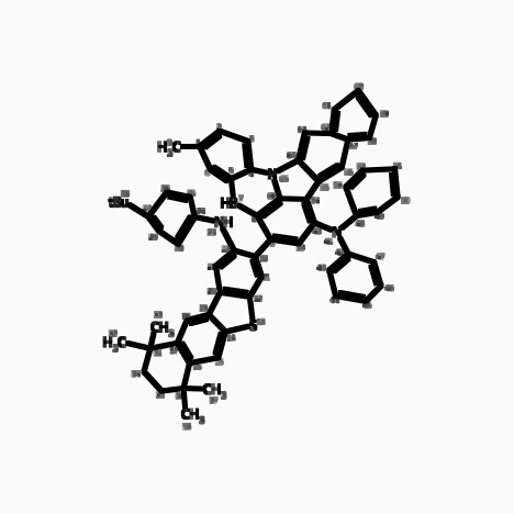 Cc1ccc2c(c1)Bc1c(-c3cc4sc5cc6c(cc5c4cc3Nc3ccc(C(C)(C)C)cc3)C(C)(C)CCC6(C)C)cc(N(c3ccccc3)c3ccccc3)c3c4cc5ccccc5cc4n-2c13